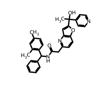 Cc1ccc(C(NC(=O)Cc2ccc3oc(C(C)(O)c4ccncc4)cc3n2)c2ccccc2)c(C)c1